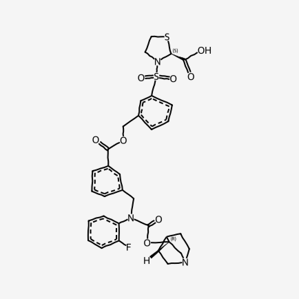 O=C(OCc1cccc(S(=O)(=O)N2CCS[C@H]2C(=O)O)c1)c1cccc(CN(C(=O)O[C@H]2CN3CCC2CC3)c2ccccc2F)c1